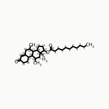 CCCCCCCCCCC(=O)OC1CCC2C3C(C)CC4=CC(=O)CCC4C3C(C)CC12C